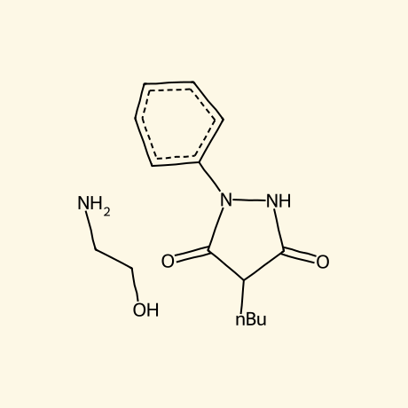 CCCCC1C(=O)NN(c2ccccc2)C1=O.NCCO